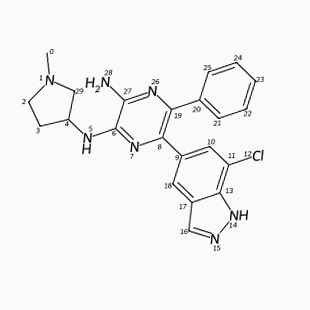 CN1CCC(Nc2nc(-c3cc(Cl)c4[nH]ncc4c3)c(-c3ccccc3)nc2N)C1